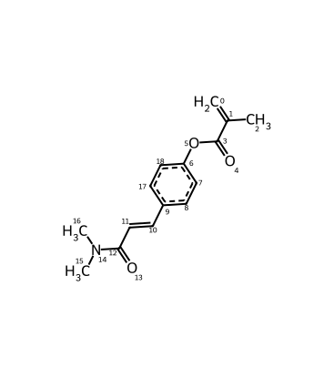 C=C(C)C(=O)Oc1ccc(C=CC(=O)N(C)C)cc1